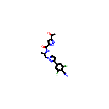 CC(Cn1ccc(-c2cc(Cl)c(C#N)c(Cl)c2)n1)NC(=O)c1cc(C(C)O)n[nH]1